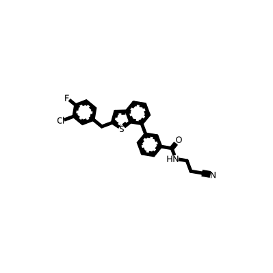 N#CCCNC(=O)c1cccc(-c2cccc3cc(Cc4ccc(F)c(Cl)c4)sc23)c1